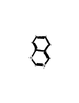 C1=CCC2=CN=C[N]C2=C1